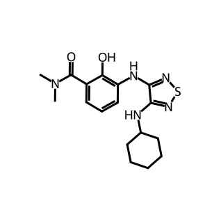 CN(C)C(=O)c1cccc(Nc2nsnc2NC2CCCCC2)c1O